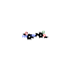 CCOc1ccc(C(C)CNCc2ccc(NC(C)=O)cc2)cc1Cl